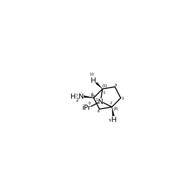 CC(C)N1[C@@H]2CC[C@H]1[C@H](N)C2